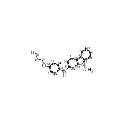 Cn1c2ccncc2c2ccc(Nc3ccc(OCC[18F])cn3)nc21